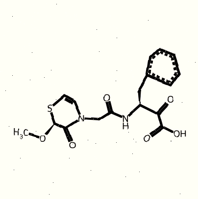 CO[C@H]1SC=CN(CC(=O)N[C@@H](Cc2ccccc2)C(=O)C(=O)O)C1=O